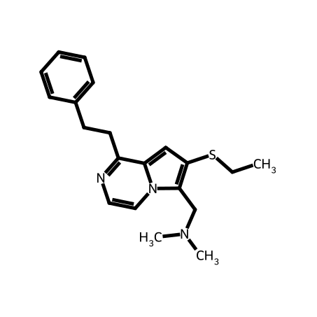 CCSc1cc2c(CCc3ccccc3)nccn2c1CN(C)C